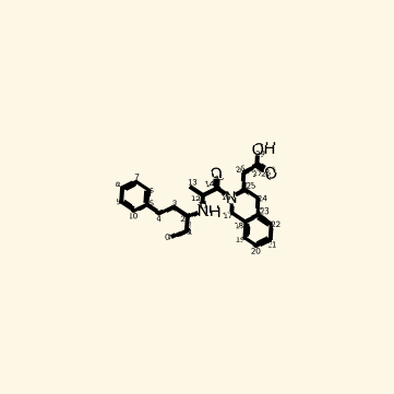 CCC(CCc1ccccc1)NC(C)C(=O)N1Cc2ccccc2CC1CC(=O)O